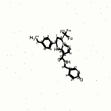 CCc1ccc([C@H]2C[C@@H](C(F)(F)F)n3ncc(C(=O)NCc4ccc(Cl)nc4)c3N2)cc1